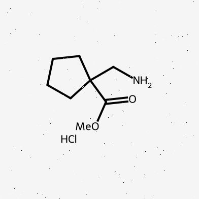 COC(=O)C1(CN)CCCC1.Cl